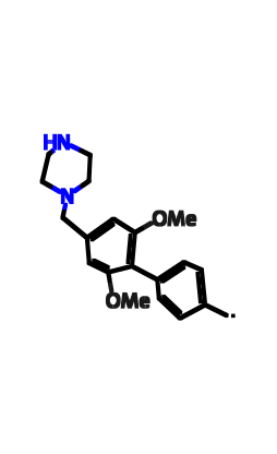 [CH2]c1ccc(-c2c(OC)cc(CN3CCNCC3)cc2OC)cc1